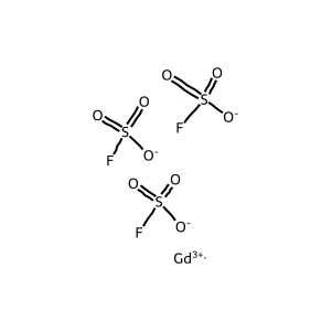 O=S(=O)([O-])F.O=S(=O)([O-])F.O=S(=O)([O-])F.[Gd+3]